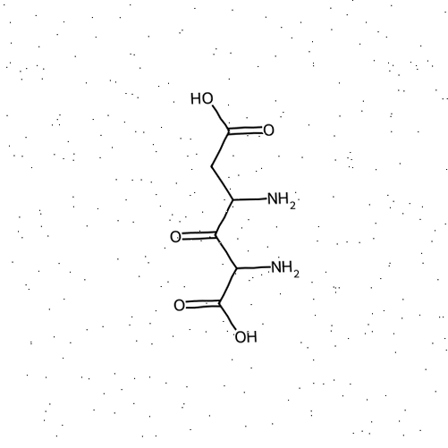 NC(CC(=O)O)C(=O)C(N)C(=O)O